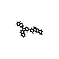 CC1(C)c2cc(-c3ccc4c(c3)c3c5ccccc5ccc3n4-c3cc4ccccc4cn3)ccc2-c2cc3ccccc3cc21